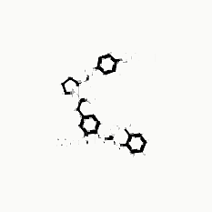 COc1cc(CC(=O)N2CCC[C@H]2COc2ccc(C(=O)O)cc2)ccc1NC(=O)Nc1ccccc1C